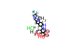 CCc1c(-c2ccc3c(c2)cc(CN2CC(F)(F)C2)n3C)[nH]c(=O)c(C(=O)O)c1O.Cl